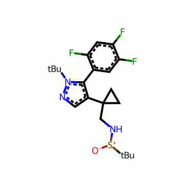 CC(C)(C)n1ncc(C2(CN[S+]([O-])C(C)(C)C)CC2)c1-c1cc(F)c(F)cc1F